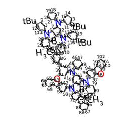 CC(C)(C)c1ccc(N2c3cc(N(c4ccccc4)c4ccccc4)cc4c3B3c5c2cccc5[Si](C)(c2ccc(-c5cccc(N(c6ccccc6)c6cc7c8c(c6)N(c6ccc9c(c6)oc6ccccc69)c6cccc9c6B8c6c(cccc6[Si]9(C)c6ccccc6)N7c6ccc7c(c6)oc6ccccc67)c5)cc2)c2cccc(c23)N4c2cc(C(C)(C)C)cc(C(C)(C)C)c2)cc1